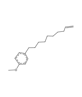 C=CCCCCCCCCc1ccc(OC)cc1